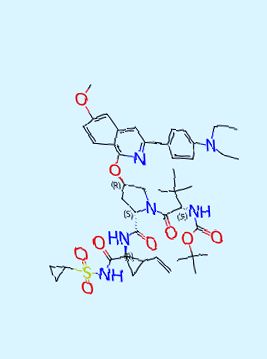 C=CC1C[C@]1(NC(=O)[C@@H]1C[C@@H](Oc2nc(-c3ccc(N(CC)CC)cc3)cc3cc(OC)ccc23)CN1C(=O)[C@@H](NC(=O)OC(C)(C)C)C(C)(C)C)C(=O)NS(=O)(=O)C1CC1